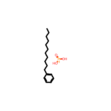 CCCCCCCCCCCc1ccccc1.O=[PH](O)O